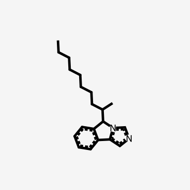 CCCCCCCCC(C)C1c2ccccc2-c2cncn21